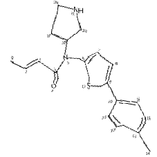 CC=CC(=O)N(c1ccc(-c2ccc(C)cc2)s1)C1CCNC1